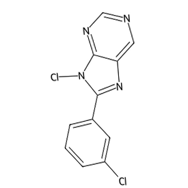 Clc1cccc(-c2nc3cncnc3n2Cl)c1